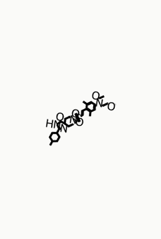 COCCN(C(C)=O)c1cc(C)c(/C=C/S(=O)(=O)N2CCC3(CC2)N=C(C2CCC(C)CC2)NC3=O)c(C)c1